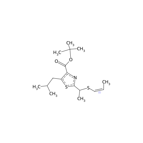 C/C=C\SC(C)c1nc(C(=O)OC(C)(C)C)c(CC(C)C)s1